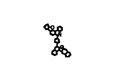 c1ccc2cc3c(cc2c1)oc1c(-c2ccc(-c4nc5ccccc5c5c4ccc4c6ccccc6oc45)cc2)cc2ccccc2c13